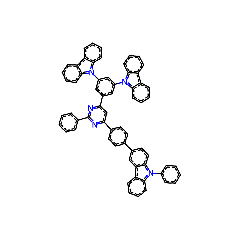 c1ccc(-c2nc(-c3ccc(-c4ccc5c(c4)c4ccccc4n5-c4ccccc4)cc3)cc(-c3cc(-n4c5ccccc5c5ccccc54)cc(-n4c5ccccc5c5ccccc54)c3)n2)cc1